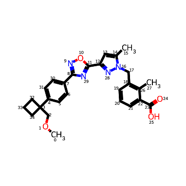 COCC1(c2ccc(-c3noc(-c4cc(C)n(Cc5cccc(C(=O)O)c5C)n4)n3)cc2)CCC1